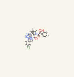 O=C(NCc1cc(Cl)ccc1-n1cnnn1)[C@@H]1[C@H]2C[C@H]2CN1C(=O)[C@H](O)c1ccccc1